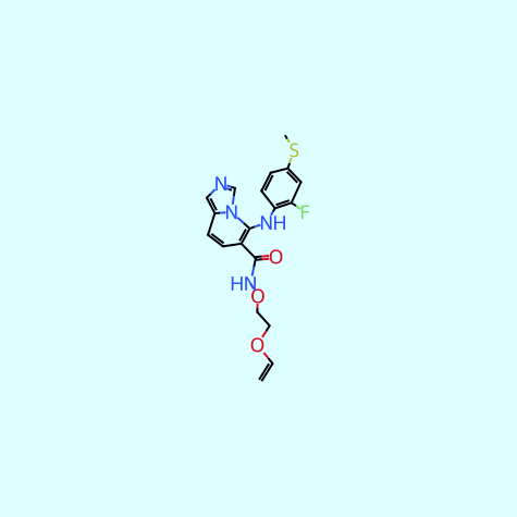 C=COCCONC(=O)c1ccc2cncn2c1Nc1ccc(SC)cc1F